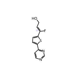 OC/C=C(\F)c1ccc(-c2ccncn2)s1